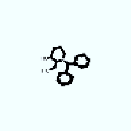 OCC1C(O)C[CH]CN1C(c1ccccc1)c1ccccc1